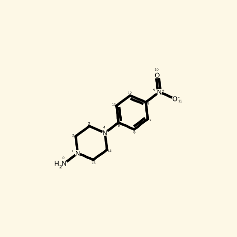 NN1CCN(c2ccc([N+](=O)[O-])cc2)CC1